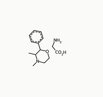 CC1C(c2ccccc2)OCCN1C.NCC(=O)O